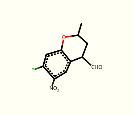 CC1CC(C=O)c2cc([N+](=O)[O-])c(F)cc2O1